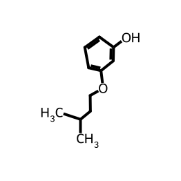 CC(C)CCOc1cccc(O)c1